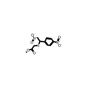 COC(=O)CSC(C[N+](=O)[O-])c1ccc([N+](=O)[O-])cc1